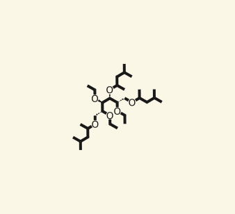 CCO[C@@H]([C@H](OC(C)CC(C)C)[C@H](COC(C)CC(C)C)OCC)[C@@H](COC(C)CC(C)C)OCC